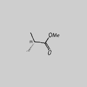 [CH2][C@H](C)C(=O)OC